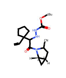 C=CC1(C(NNC(=O)OC(C)(C)C)C(=O)N2C(C#N)C[C@@H]3C[C@@H]32)CCCC1